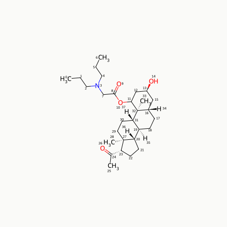 CCCN(CCC)CC(=O)OC1C[C@@H](O)C[C@@H]2CC[C@H]3[C@@H]4CC[C@H](C(C)=O)[C@@]4(C)CC[C@@H]3[C@@]12C